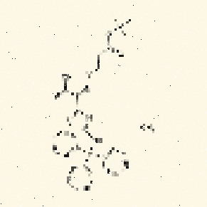 C.CC(C)(C)OC(=O)CCON=C(C(=O)O)c1csc(NC(c2ccccc2)(c2ccccc2)c2ccccc2)n1